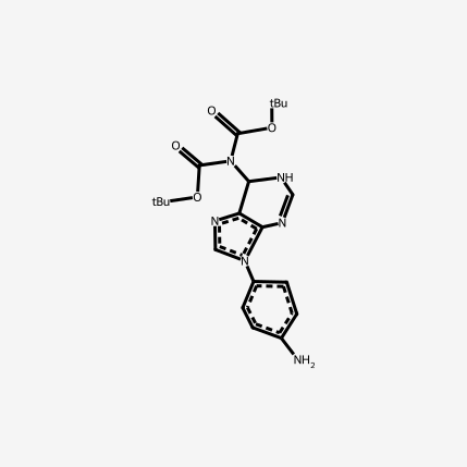 CC(C)(C)OC(=O)N(C(=O)OC(C)(C)C)C1NC=Nc2c1ncn2-c1ccc(N)cc1